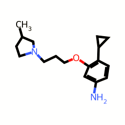 CC1CCN(CCCOc2cc(N)ccc2C2CC2)C1